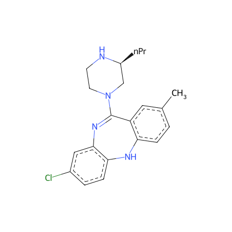 CCC[C@H]1CN(C2=Nc3cc(Cl)ccc3Nc3ccc(C)cc32)CCN1